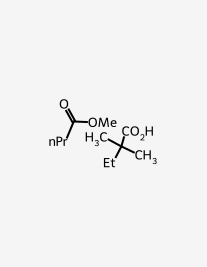 CCC(C)(C)C(=O)O.CCCC(=O)OC